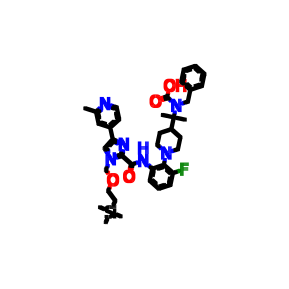 Cc1cc(-c2cn(COCC[Si](C)(C)C)c(C(=O)Nc3cccc(F)c3N3CCC(C(C)(C)N(Cc4ccccc4)C(=O)O)CC3)n2)ccn1